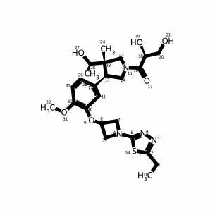 CCc1nnc(N2CC(Oc3cc([C@@H]4CN(C(=O)[C@@H](O)CO)C[C@@]4(C)[C@@H](C)O)ccc3OC)C2)s1